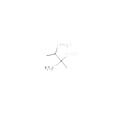 CCCCCCCC(C)C(C)(C(=O)[O-])C(=O)[O-].[Mg+2]